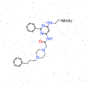 CC(=O)NCCNc1cc(NC(=O)CN2CCN(CCCc3ccccc3)CC2)nc(-c2ccccc2)n1